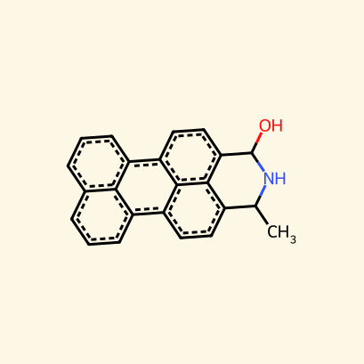 CC1NC(O)c2ccc3c4cccc5cccc(c6ccc1c2c63)c54